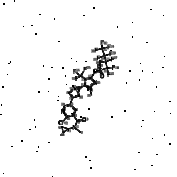 CN(C(=O)c1cc(-c2cnn(-c3c(C(F)(F)F)c(OS(=O)(=O)C(F)(F)C(F)(F)C(F)(F)C(F)(F)F)nn3C)c2)cnc1Cl)C1CC1